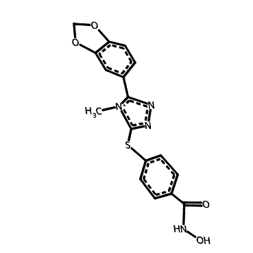 Cn1c(Sc2ccc(C(=O)NO)cc2)nnc1-c1ccc2c(c1)OCO2